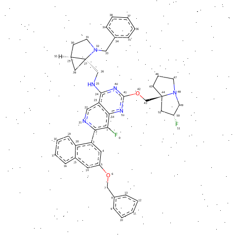 Fc1c(-c2cc(OCc3ccccc3)cc3ccccc23)ncc2c(NC[C@]34C[C@H]3CCN4Cc3ccccc3)nc(OC[C@@]34CCCN3C[C@H](F)C4)nc12